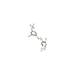 Fc1cc(CC(F)(F)F)ccc1SSc1ccc(CC(F)(F)F)cc1F